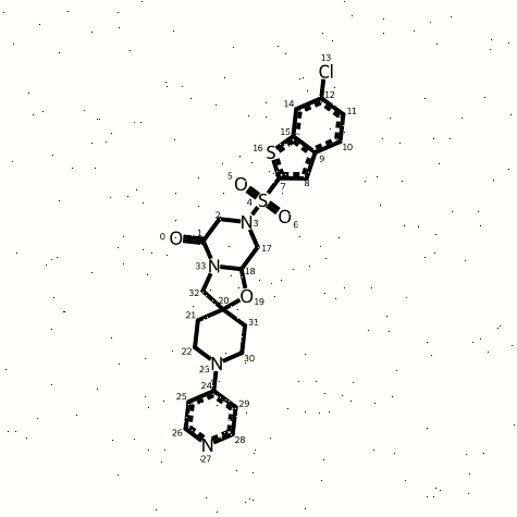 O=C1CN(S(=O)(=O)c2cc3ccc(Cl)cc3s2)CC2OC3(CCN(c4ccncc4)CC3)CN12